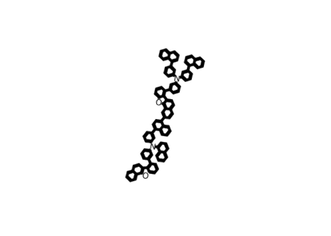 c1cc(-c2cccc3ccccc23)cc(N(c2cccc(-c3cccc4ccccc34)c2)c2cccc(-c3cccc4oc5c6cc(-c7ccc(-c8cccc(N(c9cccc(-c%10cccc%11oc%12c%13ccccc%13ccc%12c%10%11)c9)c9cccc%10ccccc9%10)c8)c8ccccc78)ccc6ccc5c34)c2)c1